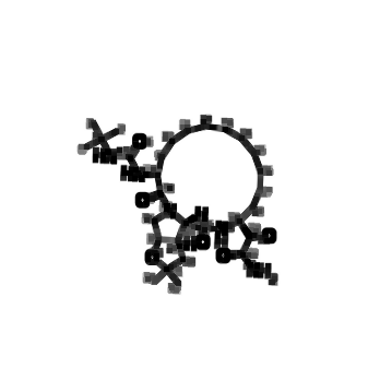 CC(C)(C)NC(=O)N[C@H]1CCCCCCCCCC[C@@H](C(=O)C(N)=O)NC(=O)[C@@H]2[C@H]3CC(C)(C)OC3CN2C1=O